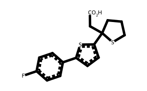 O=C(O)CC1(c2ccc(-c3ccc(F)cc3)s2)CCCS1